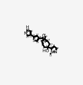 CC1CC2CC(O)(c3ccnn3C)CC1N2C(=O)c1csc(-c2cn[nH]c2)c1